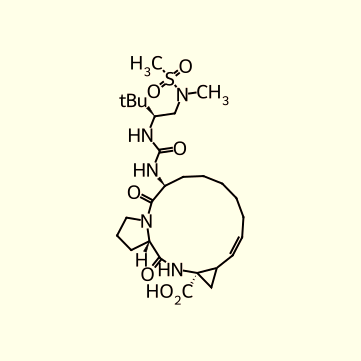 CN(C[C@@H](NC(=O)N[C@H]1CCCCC/C=C\C2C[C@@]2(C(=O)O)NC(=O)[C@@H]2CCCN2C1=O)C(C)(C)C)S(C)(=O)=O